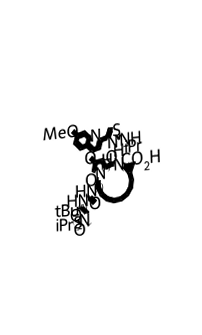 COc1ccc2c(OC3C[C@H]4C(=O)N[C@]5(C(=O)O)CC5CCCCCCC[C@H](NC(=O)N[C@H](CN(C)S(=O)(=O)C(C)C)C(C)(C)C)C(=O)N4C3)cc(-c3csc(NC(C)C)n3)nc2c1